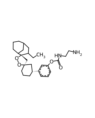 CCC1CC2CCCC(C2)[C@]12C[C@]1(CCC[C@@H](c3cccc(OC(=O)NCCN)c3)C1)OO2